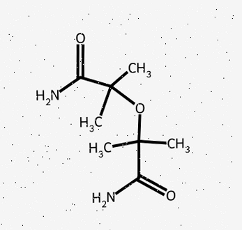 CC(C)(OC(C)(C)C(N)=O)C(N)=O